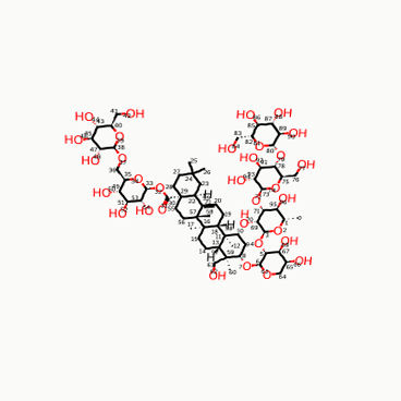 C[C@@H]1O[C@@H](O[C@H]2[C@H](O[C@H]3CC[C@@]4(C)[C@@H](CC[C@]5(C)[C@@H]4CC=C4[C@@H]6CC(C)(C)CC[C@]6(C(=O)O[C@@H]6O[C@H](CO[C@@H]7O[C@H](CO)[C@@H](O)[C@H](O)[C@H]7O)[C@@H](O)[C@H](O)[C@H]6O)CC[C@]45C)[C@]3(C)CO)OC[C@H](O)[C@@H]2O)[C@H](O)[C@H](O[C@@H]2O[C@H](CO)[C@@H](O[C@@H]3O[C@H](CO)[C@@H](O)[C@H](O)[C@H]3O)[C@H](O)[C@H]2O)[C@H]1O